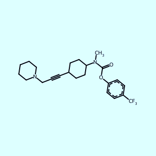 CN(C(=O)Oc1ccc(C(F)(F)F)cc1)C1CCC(C#CCN2CCCCC2)CC1